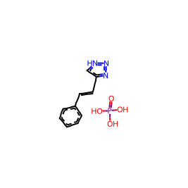 C(=Cc1c[nH]nn1)c1ccccc1.O=P(O)(O)O